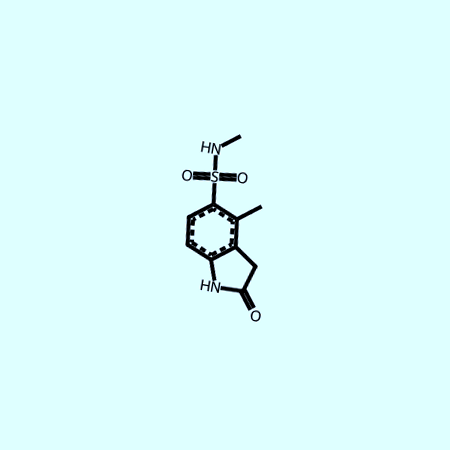 CNS(=O)(=O)c1ccc2c(c1C)CC(=O)N2